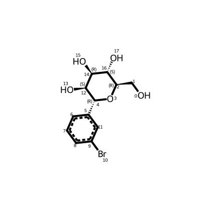 OC[C@H]1O[C@H](c2cccc(Br)c2)[C@@H](O)[C@@H](O)[C@@H]1O